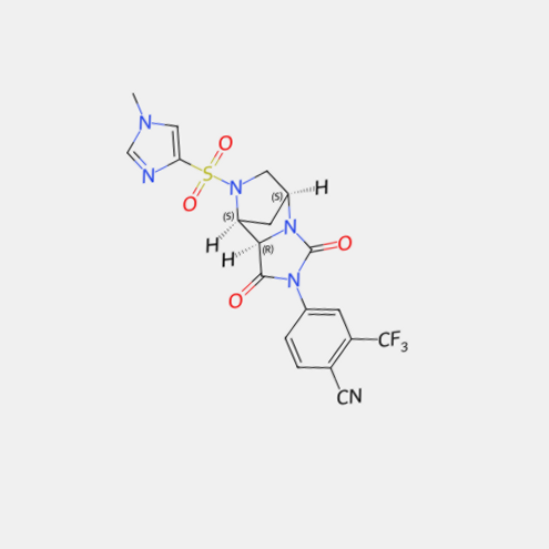 Cn1cnc(S(=O)(=O)N2C[C@@H]3C[C@H]2[C@@H]2C(=O)N(c4ccc(C#N)c(C(F)(F)F)c4)C(=O)N32)c1